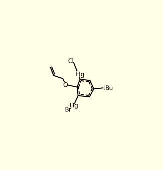 C=CCOc1[c]([Hg][Cl])cc(C(C)(C)C)c[c]1[Hg][Br]